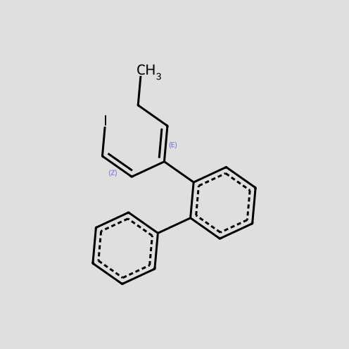 CC/C=C(\C=C/I)c1ccccc1-c1ccccc1